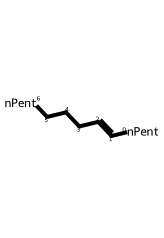 [CH2]CCCCC=CCCCCCCCC